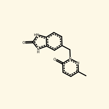 Cc1ccc(=O)n(Cc2ccc3[nH]c(=O)[nH]c3c2)n1